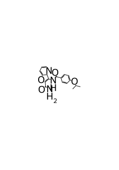 CC(C)Oc1ccc(C(=O)Nc2c(C(N)=O)oc3cccnc23)cc1